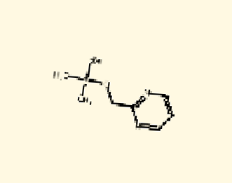 CC(C)(C)[Si](C)(C)OCc1ncccn1